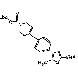 CC(=O)Nc1cc(-c2ccc(C3=CCN(C(=O)OC(C)(C)C)CC3)cc2)c(C)o1